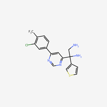 NCC(N)(c1ccsc1)c1cc(-c2ccc(C(F)(F)F)c(Cl)c2)ncn1